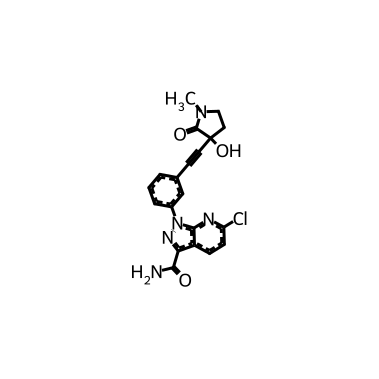 CN1CCC(O)(C#Cc2cccc(-n3nc(C(N)=O)c4ccc(Cl)nc43)c2)C1=O